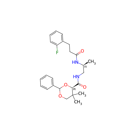 C[C@@H](CNC(=O)[C@@H]1OC(c2ccccc2)OCC1(C)C)NC(=O)CCc1ccccc1F